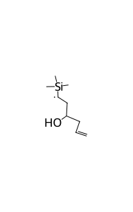 C=CCC(O)C[CH][Si](C)(C)C